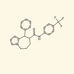 O=C(Nc1ccc(C(F)(F)F)cc1)C1CCCn2cccc2C1c1ccccc1